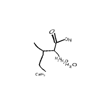 CCC(C)C(N)C(=O)O.O.O.[CaH2]